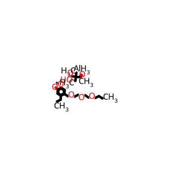 CCC(CC)(C(C)=O)C(=O)O.CCCCOCCOCCOCc1cc2c(cc1CCC)OCO2.[AlH3]